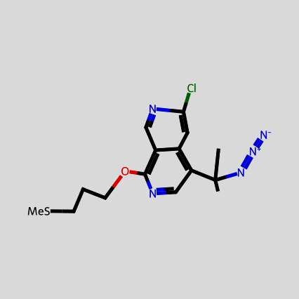 CSCCCOc1ncc(C(C)(C)N=[N+]=[N-])c2cc(Cl)ncc12